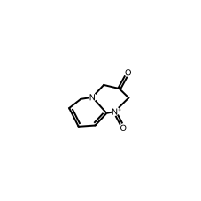 O=C1CN2CC=CC=C2[N+](=O)C1